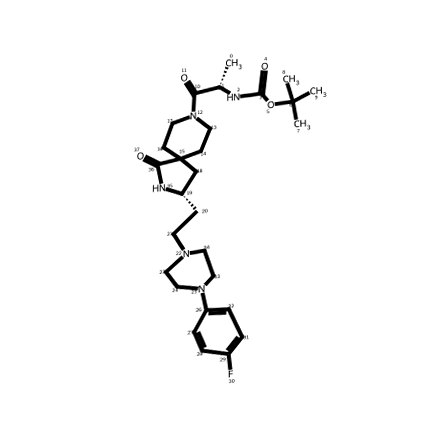 C[C@H](NC(=O)OC(C)(C)C)C(=O)N1CCC2(CC1)C[C@H](CCN1CCN(c3ccc(F)cc3)CC1)NC2=O